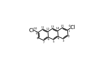 Clc1ccc2cc3ccc(Cl)cc3cc2c1